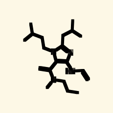 C=CNc1nc(CC(C)C)n(CCC(C)C)c1C(=C)N(C)CCC